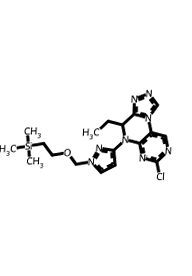 CCC1c2nncn2-c2cnc(Cl)nc2N1c1ccn(COCC[Si](C)(C)C)n1